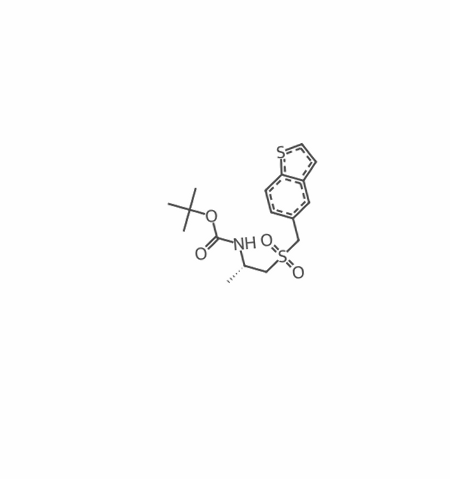 C[C@@H](CS(=O)(=O)Cc1ccc2sccc2c1)NC(=O)OC(C)(C)C